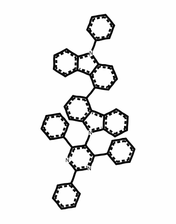 c1ccc(-c2nc(-c3ccccc3)c(-n3c4ccccc4c4c(-c5cccc6c5c5ccccc5n6-c5ccccc5)cccc43)c(-c3ccccc3)n2)cc1